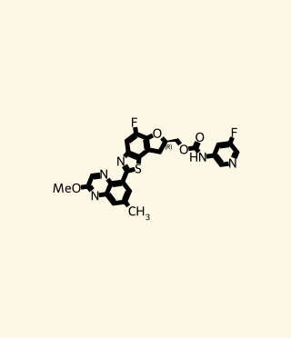 COc1cnc2c(-c3nc4cc(F)c5c(c4s3)C[C@H](COC(=O)Nc3cncc(F)c3)O5)cc(C)cc2n1